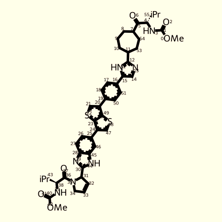 COC(=O)N[C@H](C(=O)C1CCCC(c2ncc(-c3ccc(-c4csc5c(-c6ccc7nc(C8C=CCN8C(=O)[C@@H](NC(=O)OC)C(C)C)[nH]c7c6)csc45)cc3)[nH]2)CC1)C(C)C